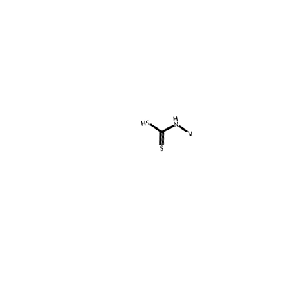 S=C(S)[NH][V]